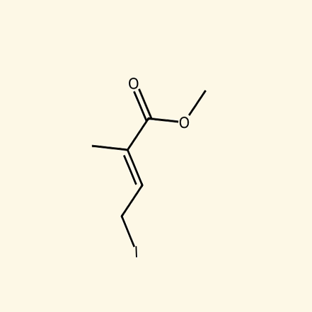 COC(=O)C(C)=CCI